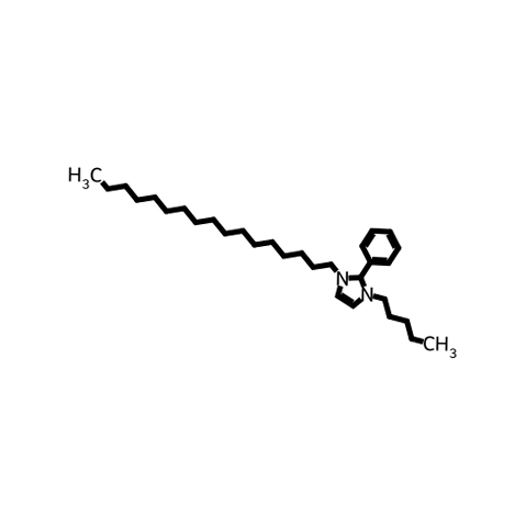 CCCCCCCCCCCCCCCCCN1C=CN(CCCCC)C1c1ccccc1